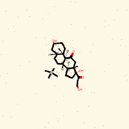 C[C@]12CC[C@@H](O)C[C@H]1CC[C@@H]1[C@@H]2C(=O)C[C@@]2(C)[C@H]1CC[C@]2(O)C(=O)CO.C[Si](C)(C)C